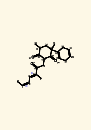 C/C=C\C=C(/C)C(=O)CN1C(=O)N(C)CC(C)(C2=CCC=CC2)C1=O